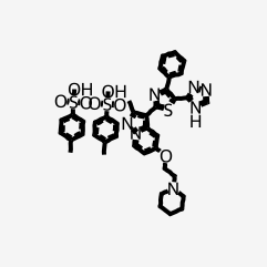 Cc1ccc(S(=O)(=O)O)cc1.Cc1ccc(S(=O)(=O)O)cc1.Cc1nn2ccc(OCCN3CCCCC3)cc2c1-c1nc(-c2ccccc2)c(-c2nnc[nH]2)s1